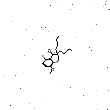 CCCCC1(CCCC)CCc2c(OC)ccc(F)c2C1=O